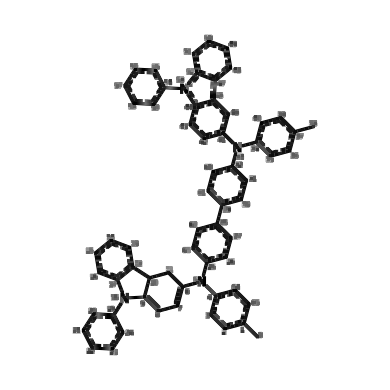 Cc1ccc(N(C2=CC=C3C(C2)c2ccccc2N3c2ccccc2)c2ccc(-c3ccc(N(c4ccc(C)cc4)c4ccc5c(c4)c4ccccc4n5-c4ccccc4)cc3)cc2)cc1